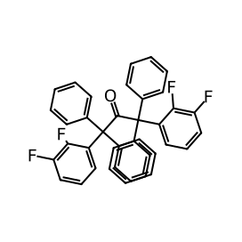 O=C(C(c1ccccc1)(c1ccccc1)c1cccc(F)c1F)C(c1ccccc1)(c1ccccc1)c1cccc(F)c1F